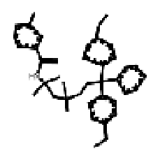 C=C(NC(C)(C)CC(C)(C)CCC(c1ccccc1)(c1ccc(CC)cc1)c1ccc(CC)cc1)c1cccc(C)c1